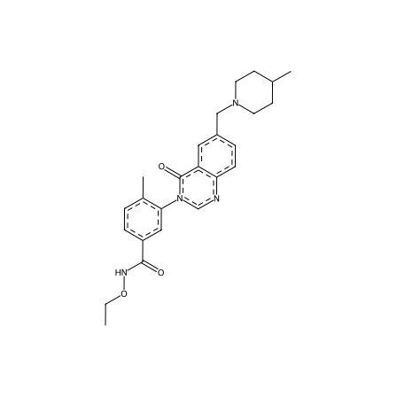 CCONC(=O)c1ccc(C)c(-n2cnc3ccc(CN4CCC(C)CC4)cc3c2=O)c1